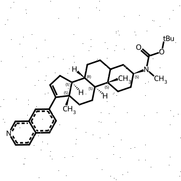 CN(C(=O)OC(C)(C)C)[C@H]1CC[C@@]2(C)C(CC[C@@H]3[C@@H]2CC[C@]2(C)C(c4ccc5ccncc5c4)=CC[C@@H]32)C1